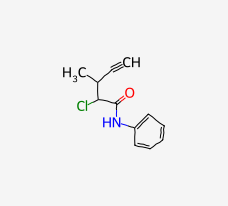 C#CC(C)C(Cl)C(=O)Nc1ccccc1